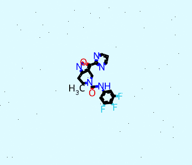 C[C@H]1Cc2noc(-c3ncccn3)c2CN1C(=O)Nc1cc(F)c(F)c(F)c1